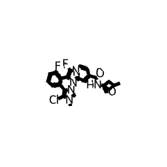 Cn1cnc(-c2cccc(F)c2-c2nc3cc(C(=O)NC45COC(C)(C4)C5)ccn3c2F)c1Cl